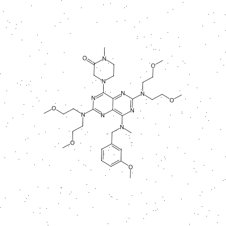 COCCN(CCOC)c1nc(N2CCN(C)C(=O)C2)c2nc(N(CCOC)CCOC)nc(N(C)Cc3cccc(OC)c3)c2n1